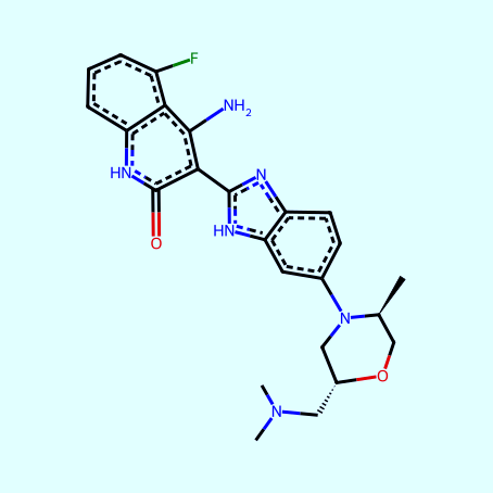 C[C@H]1CO[C@H](CN(C)C)CN1c1ccc2nc(-c3c(N)c4c(F)cccc4[nH]c3=O)[nH]c2c1